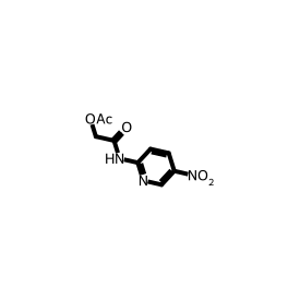 CC(=O)OCC(=O)Nc1ccc([N+](=O)[O-])cn1